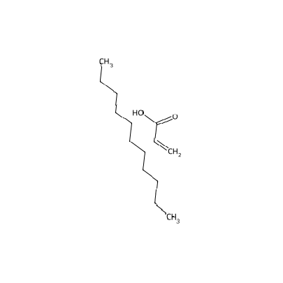 C=CC(=O)O.CCCCCCCCCCC